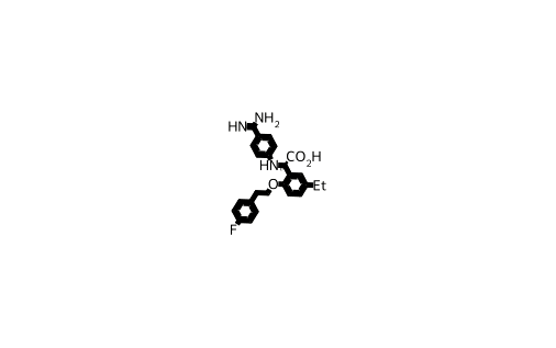 CCc1ccc(OCCc2ccc(F)cc2)c([C@@H](Nc2ccc(C(=N)N)cc2)C(=O)O)c1